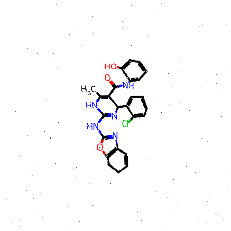 CC1=C(C(=O)Nc2ccccc2O)C(c2ccccc2Cl)N=C(Nc2nc3c(o2)CCC=C3)N1